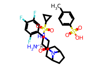 Cc1ccc(S(=O)(=O)O)cc1.N[C@H](Cc1cc(F)c(F)cc1F)C1CC2CCC(C1)N2C(=O)CNS(=O)(=O)C1CC1